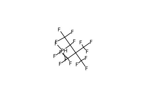 FC(F)(F)C(C(F)(F)F)(C(F)(F)F)C(F)(C(F)(F)F)[PH](F)(F)F